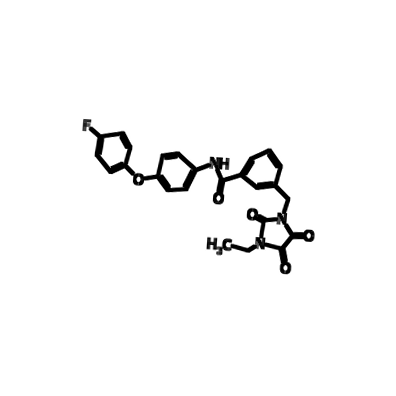 CCN1C(=O)C(=O)N(Cc2cccc(C(=O)Nc3ccc(Oc4ccc(F)cc4)cc3)c2)C1=O